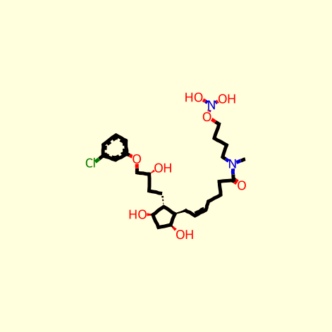 CN(CCCCON(O)O)C(=O)CCC/C=C\C[C@@H]1[C@@H](CC[C@@H](O)COc2cccc(Cl)c2)[C@H](O)C[C@@H]1O